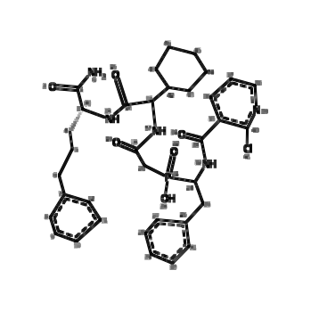 NC(=O)[C@@H](CCCc1ccccc1)NC(=O)C(NC(=O)CP(=O)(O)C(Cc1ccccc1)NC(=O)c1cccnc1Cl)C1CCCCC1